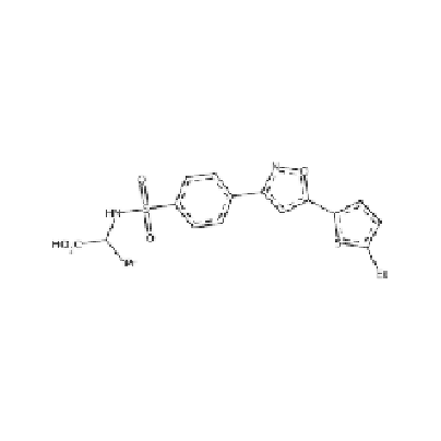 CCc1ccc(-c2cc(-c3ccc(S(=O)(=O)NC(C(=O)O)C(C)C)cc3)no2)s1